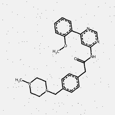 COc1ccccc1-c1cc(NC(=O)Cc2ccc(CN3CCN(C)CC3)cc2)ncn1